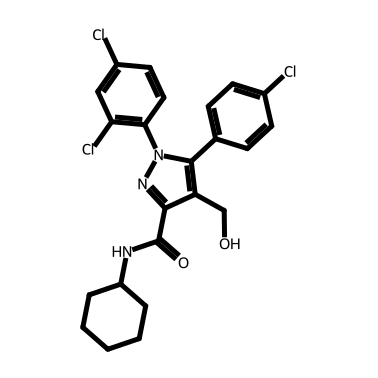 O=C(NC1CCCCC1)c1nn(-c2ccc(Cl)cc2Cl)c(-c2ccc(Cl)cc2)c1CO